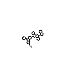 N#Cc1ccc2c(c1)c1cc(-c3cc4c5ccccc5c(-c5cccc6ccccc56)cc4c4ccccc34)ccc1n2-c1ccccc1